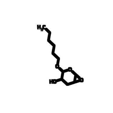 CCCCCCOC1OC2OC2CC1O